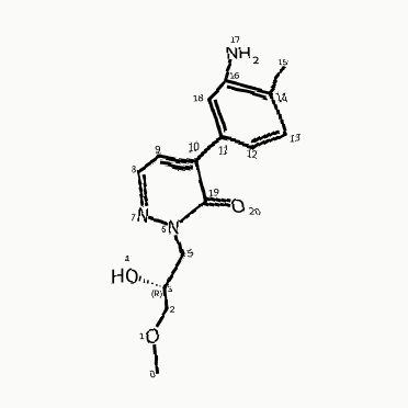 COC[C@H](O)Cn1nccc(-c2ccc(C)c(N)c2)c1=O